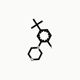 CC(C)(C)c1ccc(I)c(N2CCOCC2)c1